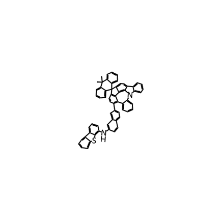 CC1(C)c2ccccc2C2(c3ccccc31)c1ccc(-c3ccc4ccc(Nc5cccc6c5sc5ccccc56)cc4c3)c3c1-c1c2ccc2c4ccccc4n(c12)-c1ccccc1-3